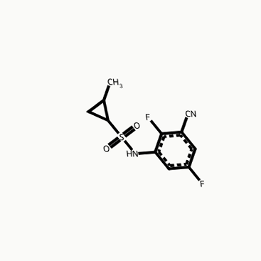 CC1CC1S(=O)(=O)Nc1cc(F)cc(C#N)c1F